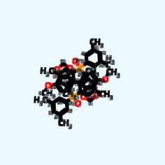 COc1cc(P(=O)(c2cc(C)cc(C)c2)c2cc(C)cc(C)c2)c(-c2c(P(=O)(c3cc(C)cc(C)c3)c3cc(C)cc(C)c3)cc(OC)c3c2OCO3)c2c1OCO2